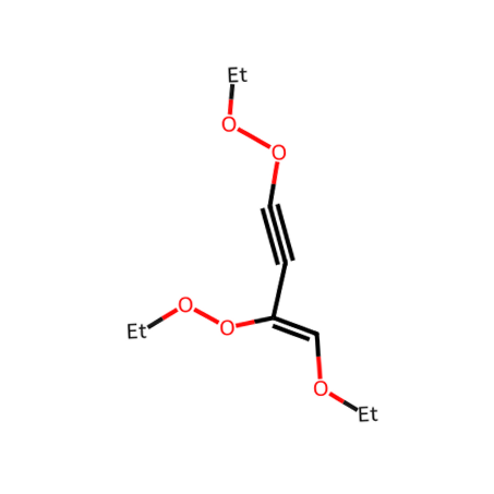 CCOC=C(C#COOCC)OOCC